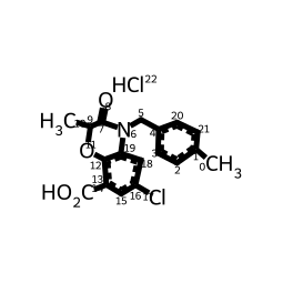 Cc1ccc(CN2C(=O)C(C)Oc3c(C(=O)O)cc(Cl)cc32)cc1.Cl